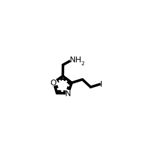 NCc1ocnc1CCI